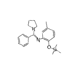 Cc1ccc(O[Si](C)(C)C)c(N=C(c2ccccc2)N2CCCC2)c1